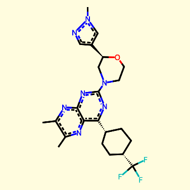 Cc1nc2nc(N3CCO[C@H](c4cnn(C)c4)C3)nc([C@H]3CC[C@@H](C(F)(F)F)CC3)c2nc1C